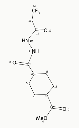 COC(=O)C1CCC(C(=O)NNC(=O)CC(F)(F)F)CC1